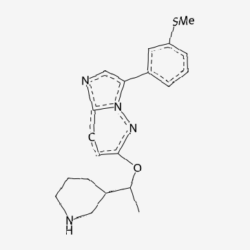 CSc1cccc(-c2cnc3ccc(OC(C)C4CCCNC4)nn23)c1